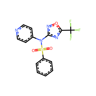 O=S(=O)(c1ccccc1)N(c1ccncc1)c1noc(C(F)(F)F)n1